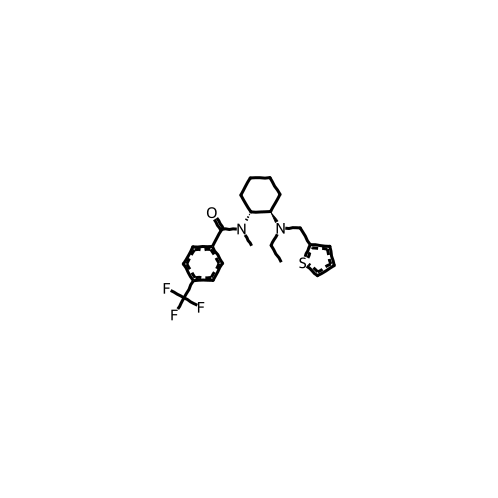 CCN(Cc1cccs1)[C@@H]1CCCC[C@H]1N(C)C(=O)c1ccc(C(F)(F)F)cc1